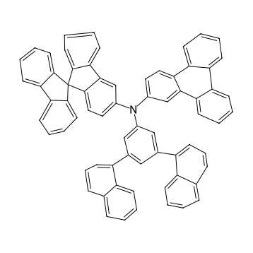 c1ccc2c(c1)-c1ccccc1C21c2ccccc2-c2cc(N(c3cc(-c4cccc5ccccc45)cc(-c4cccc5ccccc45)c3)c3ccc4c5ccccc5c5ccccc5c4c3)ccc21